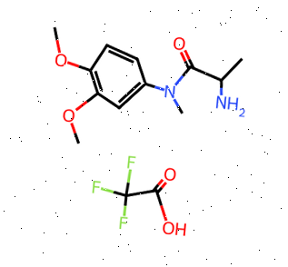 COc1ccc(N(C)C(=O)C(C)N)cc1OC.O=C(O)C(F)(F)F